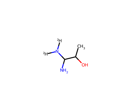 [2H]N([2H])C(N)C(C)O